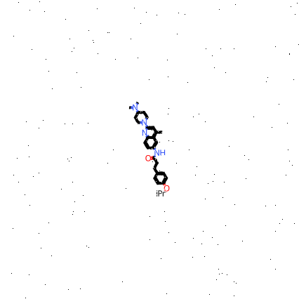 Cc1cc(N2CCC(N(C)C)CC2)nc2ccc(NC(=O)CCc3ccc(OC(C)C)cc3)cc12